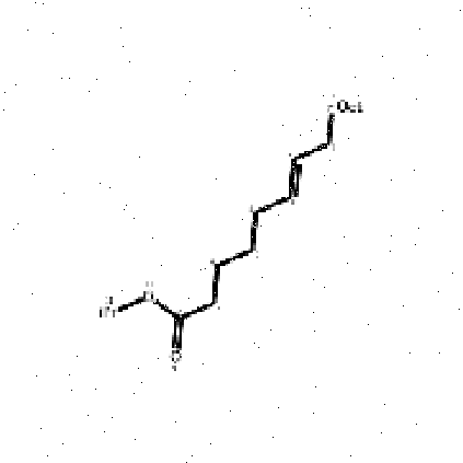 CCCCCCCCCC=CCCCCC(=O)OC(C)C